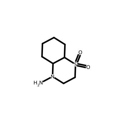 NN1CCS(=O)(=O)C2CCCCC21